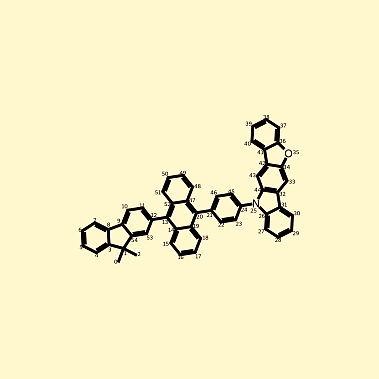 CC1(C)c2ccccc2-c2ccc(-c3c4ccccc4c(-c4ccc(-n5c6ccccc6c6cc7oc8ccccc8c7cc65)cc4)c4ccccc34)cc21